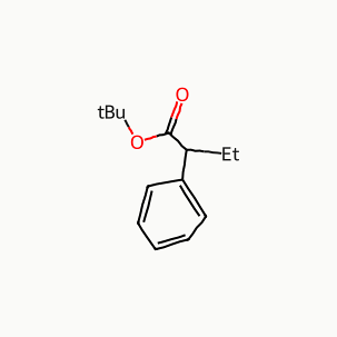 CCC(C(=O)OC(C)(C)C)c1ccccc1